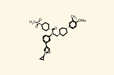 COc1ccc([C@H]2CC[C@H](CN(c3cccc(-c4cnn(C5CC5)c4)c3)C(=O)[C@H]3CC[C@H](S(C)(=O)=O)CC3)CC2)cc1C